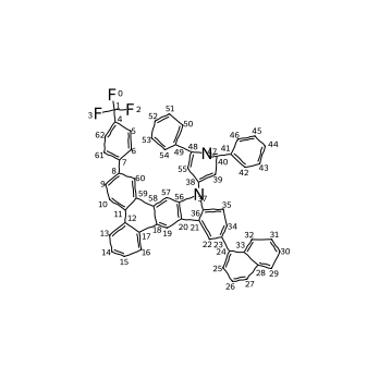 FC(F)(F)c1ccc(-c2ccc3c4ccccc4c4cc5c6cc(-c7cccc8ccccc78)ccc6n(-c6cc(-c7ccccc7)nc(-c7ccccc7)c6)c5cc4c3c2)cc1